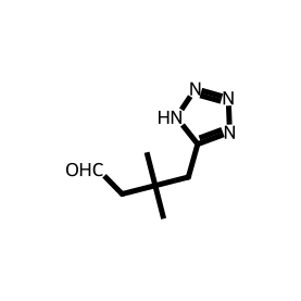 CC(C)(CC=O)Cc1nnn[nH]1